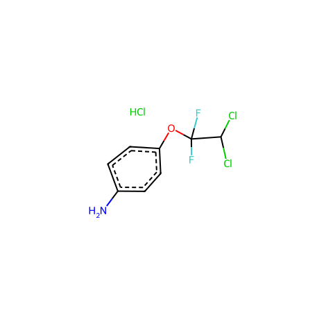 Cl.Nc1ccc(OC(F)(F)C(Cl)Cl)cc1